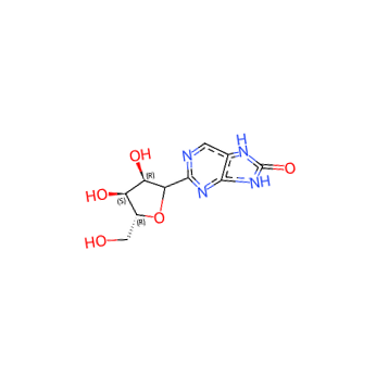 O=c1[nH]c2cnc(C3O[C@H](CO)[C@@H](O)[C@H]3O)nc2[nH]1